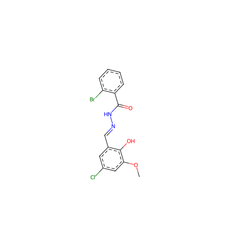 COc1cc(Cl)cc(C=NNC(=O)c2ccccc2Br)c1O